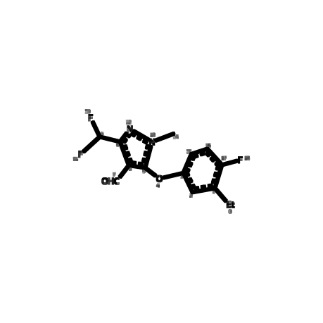 CCc1cc(Oc2c(C=O)c(C(F)F)nn2C)ccc1F